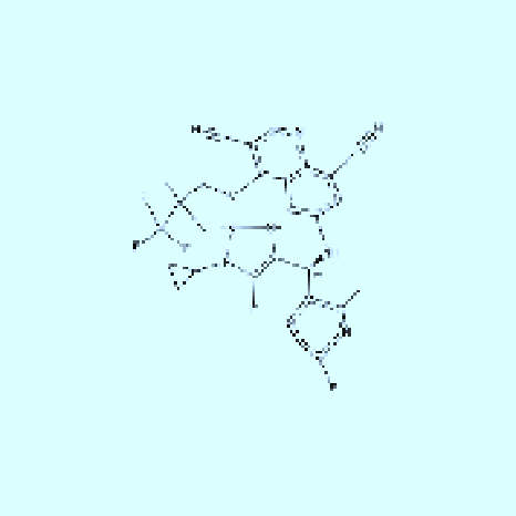 Cc1nc(F)ccc1[C@H](Nc1cc(C#N)c2ncc(C#N)c(NCC(C)(C)C(F)(F)F)c2c1)C1=C(F)N(C2CC2)NN1